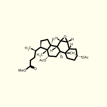 COC(=O)CC[C@@H](C)[C@H]1CC[C@H]2[C@@H]3[C@@H]4O[C@@H]4[C@@H]4C[C@H](OC(C)=O)CC[C@]4(C)[C@H]3C[C@H](OC(C)=O)[C@]12C